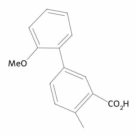 COc1ccccc1-c1ccc(C)c(C(=O)O)c1